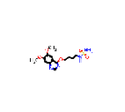 COc1cc2ncnc(OCCCCNS(N)(=O)=O)c2cc1OC